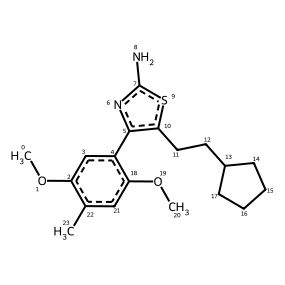 COc1cc(-c2nc(N)sc2CCC2CCCC2)c(OC)cc1C